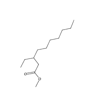 CCCCCCCC(CC)CC(=O)OC